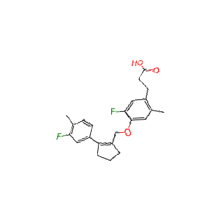 Cc1ccc(C2=C(COc3cc(C)c(CCC(=O)O)cc3F)CCC2)cc1F